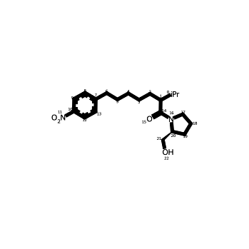 CC(C)C(CCCCCc1ccc([N+](=O)[O-])cc1)C(=O)N1CCC[C@H]1CO